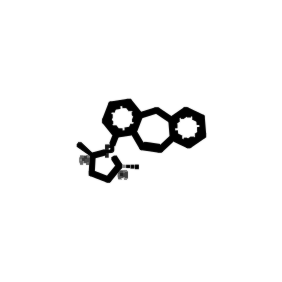 C[C@@H]1CC[C@@H](C)P1c1cccc2c1C=Cc1ccccc1C2